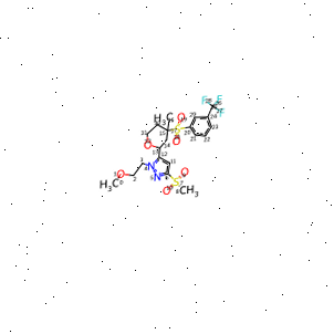 COCCn1nc(S(C)(=O)=O)cc1C1CC(C)(S(=O)(=O)c2cccc(C(F)(F)F)c2)CCO1